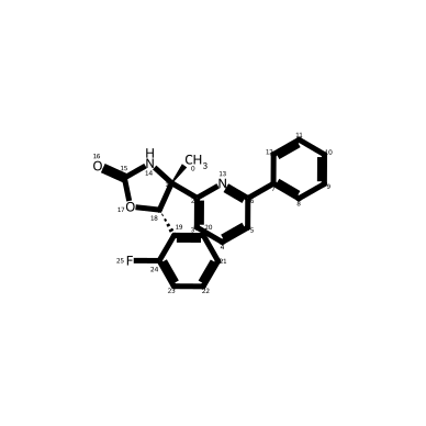 C[C@]1(c2cccc(-c3ccccc3)n2)NC(=O)O[C@H]1c1ccccc1F